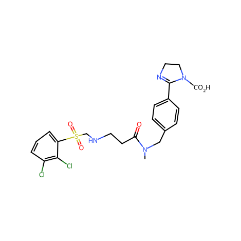 CN(Cc1ccc(C2=NCCN2C(=O)O)cc1)C(=O)CCNCS(=O)(=O)c1cccc(Cl)c1Cl